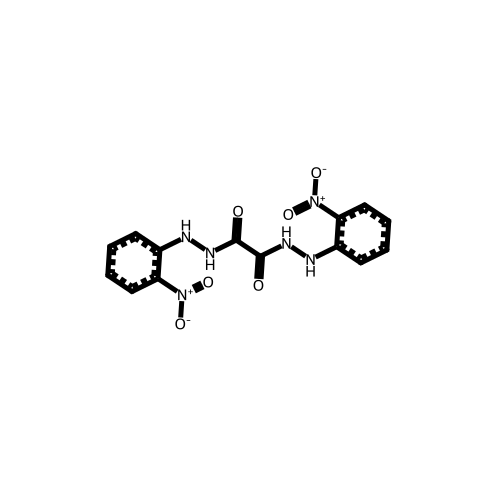 O=C(NNc1ccccc1[N+](=O)[O-])C(=O)NNc1ccccc1[N+](=O)[O-]